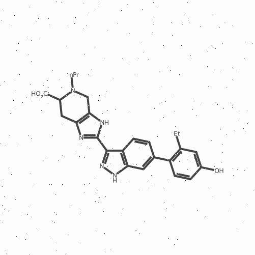 CCCN1Cc2[nH]c(-c3n[nH]c4cc(-c5ccc(O)cc5CC)ccc34)nc2CC1C(=O)O